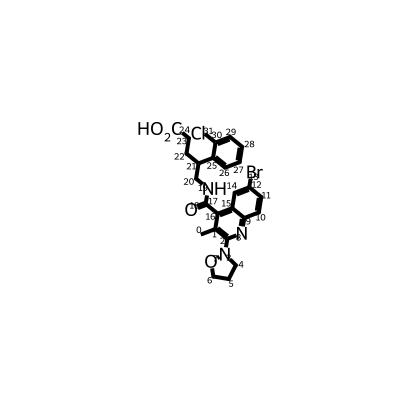 Cc1c(N2CCCO2)nc2ccc(Br)cc2c1C(=O)NCC(CCC(=O)O)c1ccccc1Cl